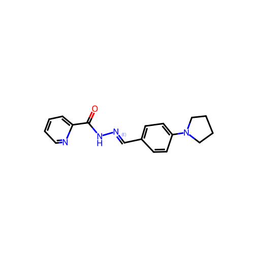 O=C(N/N=C/c1ccc(N2CCCC2)cc1)c1ccccn1